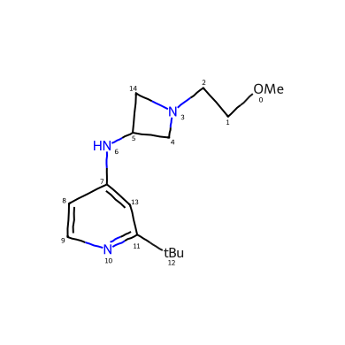 COCCN1CC(Nc2ccnc(C(C)(C)C)c2)C1